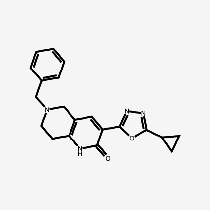 O=c1[nH]c2c(cc1-c1nnc(C3CC3)o1)CN(Cc1ccccc1)CC2